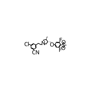 C[C@@H]1CN(CCc2cc(Cl)cc(C#N)c2)C[C@H]1COc1cc(F)c(S(C)(=O)=O)c(F)c1